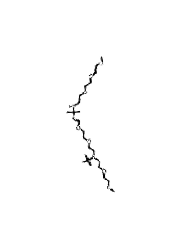 COCCOCCOCCNC(C)(C)CCOCCOCCN(CCOCCOC)C(C)(C)C